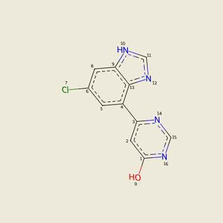 Oc1cc(-c2cc(Cl)cc3[nH]cnc23)ncn1